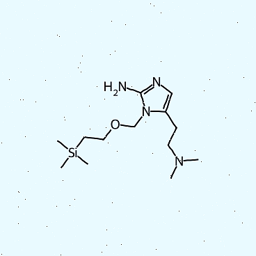 CN(C)CCc1cnc(N)n1COCC[Si](C)(C)C